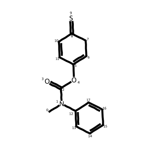 CN(C(=O)OC1=CCC(=S)C=C1)c1ccccc1